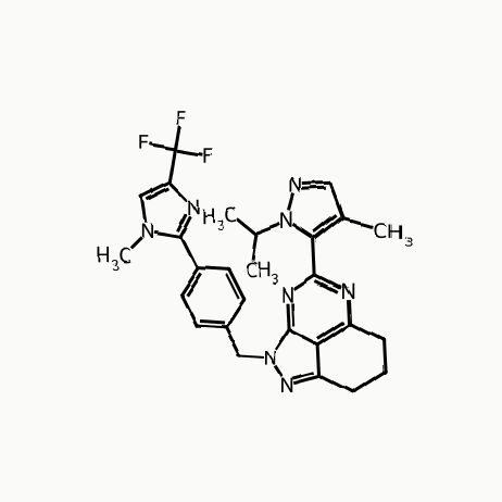 Cc1cnn(C(C)C)c1-c1nc2c3c(nn(Cc4ccc(-c5nc(C(F)(F)F)cn5C)cc4)c3n1)CCC2